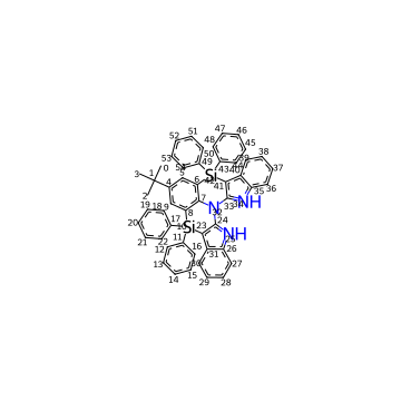 CC(C)(C)c1cc2c3c(c1)[Si](c1ccccc1)(c1ccccc1)c1c([nH]c4ccccc14)N3c1[nH]c3ccccc3c1[Si]2(c1ccccc1)c1ccccc1